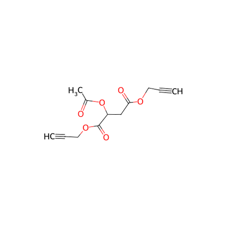 C#CCOC(=O)CC(OC(C)=O)C(=O)OCC#C